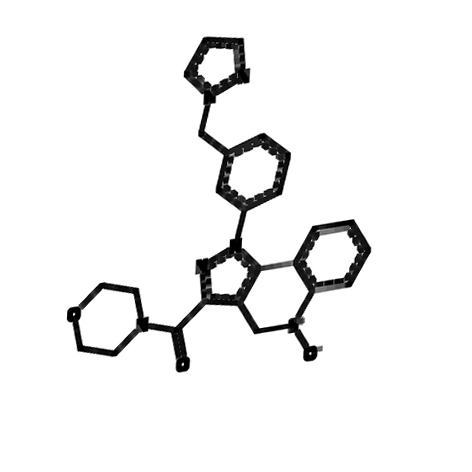 O=C(c1nn(-c2cccc(Cn3cccn3)c2)c2c1C[S+]([O-])c1ccccc1-2)N1CCOCC1